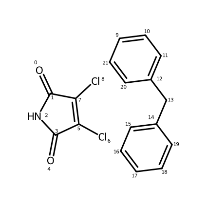 O=C1NC(=O)C(Cl)=C1Cl.c1ccc(Cc2ccccc2)cc1